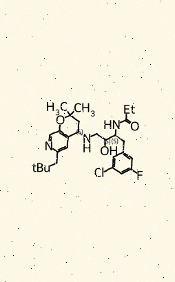 CCC(=O)N[C@@H](Cc1cc(F)cc(Cl)c1)[C@@H](O)CN[C@H]1CC(C)(C)Oc2cnc(CC(C)(C)C)cc21